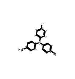 Bc1ccc(N(c2ccc(Br)cc2)c2ccc(I)cc2)cc1